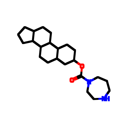 O=C(OC1CCC2C(CCC3C4CCCC4CCC23)C1)N1CCCNCC1